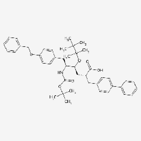 CC(C)(C)OC(=O)N[C@@H](Cc1ccc(OCc2ccccc2)cc1)[C@H](C[C@@H](Cc1ccc(-c2ccccc2)cc1)C(=O)O)O[Si](C)(C)C(C)(C)C